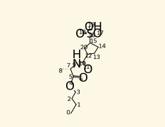 CCCCOC(=O)[C@H](C)NC(=O)C1CCC(S(=O)(=O)O)C1